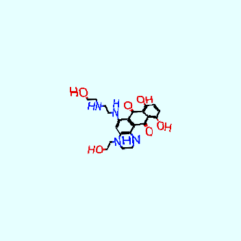 O=C1c2c(O)ccc(O)c2C(=O)c2c3c(cc(NCCNCCO)c21)N(CCO)CCN3